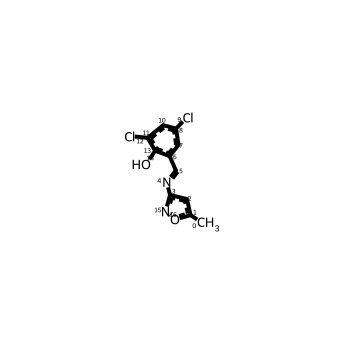 Cc1cc(/N=C/c2cc(Cl)cc(Cl)c2O)no1